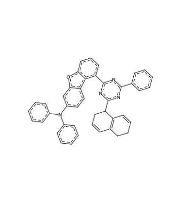 C1=CC2=C(C=CCC2c2nc(-c3ccccc3)nc(-c3cccc4oc5cc(N(c6ccccc6)c6ccccc6)ccc5c34)n2)CC1